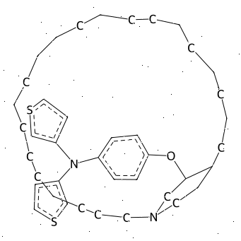 c1cc(N(c2ccc(OC3CN4CCCCCCCCCCCCCCCCCCCCCC3CC4)cc2)c2ccsc2)cs1